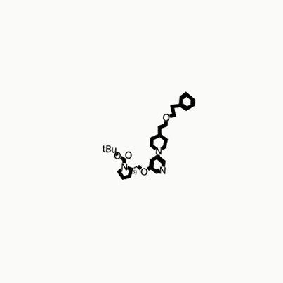 CC(C)(C)OC(=O)N1CCC[C@H]1COc1cncc(N2CCC(CCOCCc3ccccc3)CC2)c1